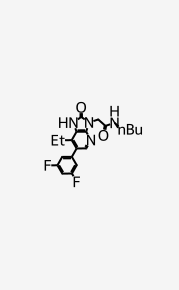 CCCCNC(=O)Cn1c(=O)[nH]c2c(CC)c(-c3cc(F)cc(F)c3)cnc21